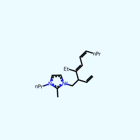 C=CC(C[n+]1ccn(CCC)c1C)/C(=C/C=C\CCC)CC